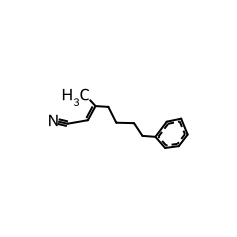 CC(=CC#N)CCCCc1ccccc1